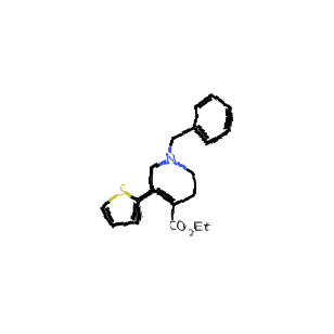 CCOC(=O)C1=C(c2cccs2)CN(Cc2ccccc2)CC1